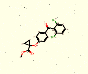 COC(=O)C1(Oc2ccc(C(=O)c3c(Br)cccc3Br)cc2)CC1